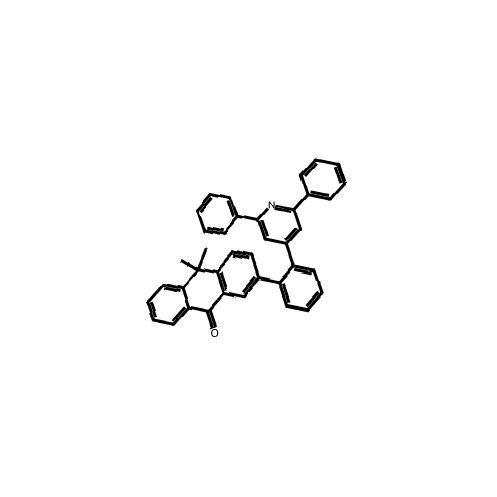 CC1(C)c2ccccc2C(=O)c2cc(-c3ccccc3-c3cc(-c4ccccc4)nc(-c4ccccc4)c3)ccc21